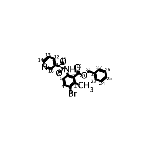 Cc1c(Br)ccc(NS(=O)(=O)c2cccnc2)c1C(=O)OCc1ccccc1